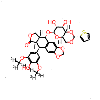 [2H]C([2H])([2H])Oc1cc([C@@H]2c3cc4c(cc3[C@@H](O[C@@H]3O[C@@H]5CO[C@@H](c6cccs6)O[C@H]5[C@H](O)[C@H]3O)[C@H]3COC(=O)[C@H]23)OCO4)cc(OC([2H])([2H])[2H])c1O